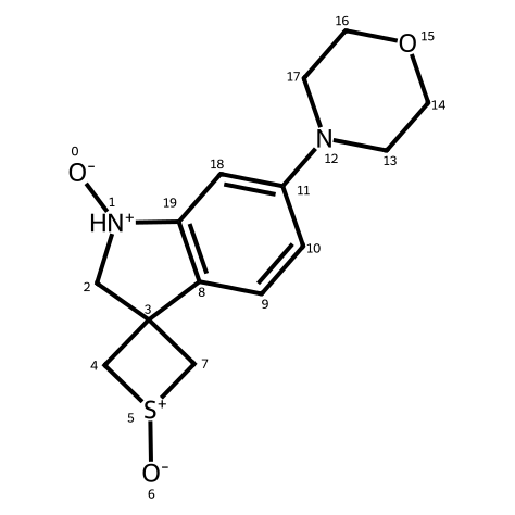 [O-][NH+]1CC2(C[S+]([O-])C2)c2ccc(N3CCOCC3)cc21